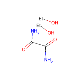 CCO.CCO.NC(=O)C(N)=O